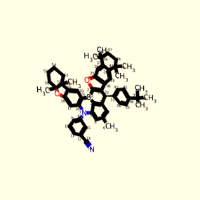 Cc1cc2c3c(c1)N(c1cccc(C#N)c1)c1cc4c(cc1B3c1oc3cc5c(cc3c1[C@H]2c1ccc(C(C)(C)C)cc1)C(C)(C)CCC5(C)C)C1(C)CCCCC1(C)O4